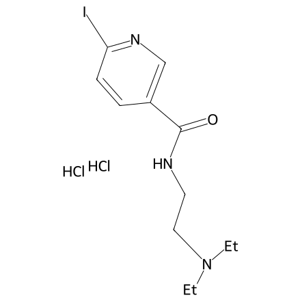 CCN(CC)CCNC(=O)c1ccc(I)nc1.Cl.Cl